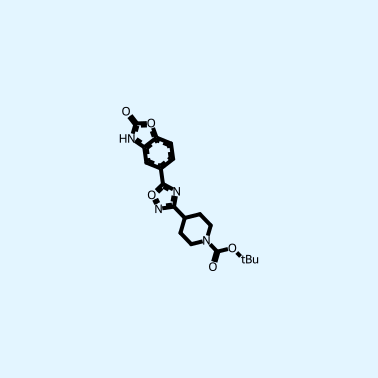 CC(C)(C)OC(=O)N1CCC(c2noc(-c3ccc4oc(=O)[nH]c4c3)n2)CC1